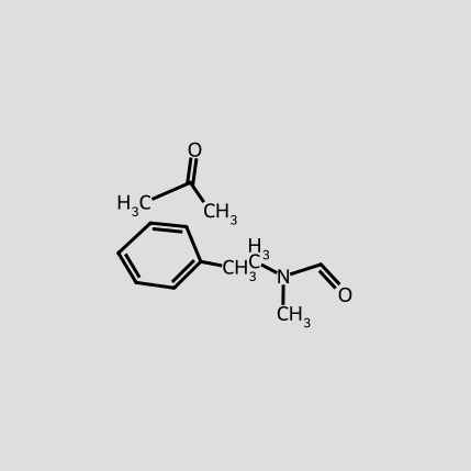 CC(C)=O.CN(C)C=O.Cc1ccccc1